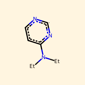 CCN(CC)c1ccn[c]n1